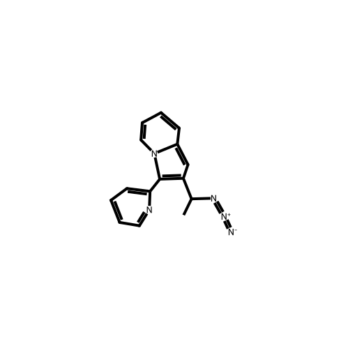 CC(N=[N+]=[N-])c1cc2ccccn2c1-c1ccccn1